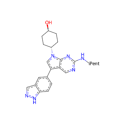 CCCC(C)Nc1ncc2c(-c3ccc4[nH]ncc4c3)cn([C@H]3CC[C@H](O)CC3)c2n1